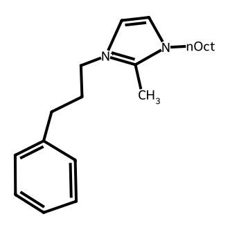 CCCCCCCCn1cc[n+](CCCc2ccccc2)c1C